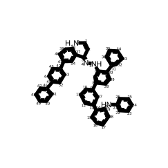 N/C=C\C(=N/Nc1cc(-c2cccc(-c3ccccc3Nc3ccccc3)c2)ccc1-c1ccccc1)c1cccc(-c2ccc(-c3ccccc3)cc2)c1